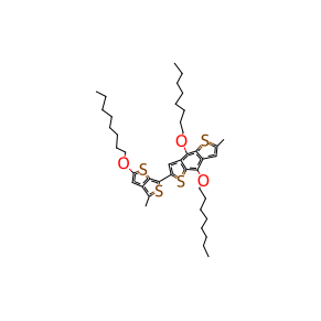 CCCCCCCCOc1cc2c(C)sc(-c3cc4c(OCCCCCCCC)c5sc(C)cc5c(OCCCCCCCC)c4s3)c2s1